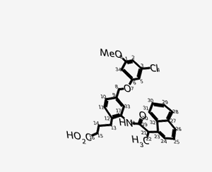 COc1cc(Cl)cc(OCc2ccc(CCCC(=O)O)c(NC(=O)C(C)c3cccc4ccccc34)c2)c1